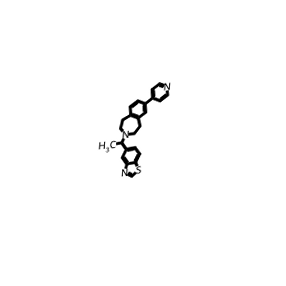 CC(c1ccc2scnc2c1)N1CCc2ccc(-c3ccncc3)cc2CC1